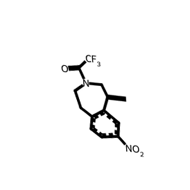 C=C1CN(C(=O)C(F)(F)F)CCc2ccc([N+](=O)[O-])cc21